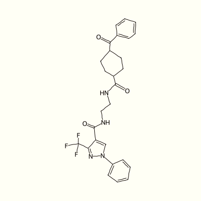 O=C(NCCNC(=O)C1CCC(C(=O)c2ccccc2)CC1)c1cn(-c2ccccc2)nc1C(F)(F)F